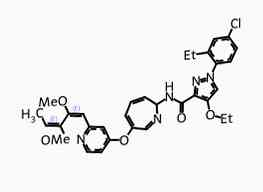 C/C=C(OC)\C(=C/c1cc(OC2=CC=CC(NC(=O)c3nn(-c4ccc(Cl)cc4CC)cc3OCC)N=C2)ccn1)OC